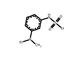 CCN(C)c1cccc(NS(=O)(=O)CC)c1